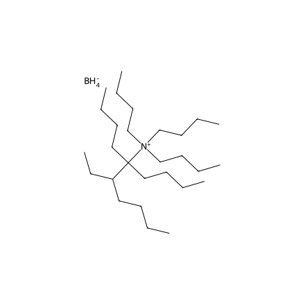 CCCCC(CC)C(CCCC)(CCCC)[N+](CCCC)(CCCC)CCCC.[BH4-]